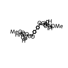 C=C(N[C@H](C(=O)N1CCC[C@@]1(C)C(=O)OCC(=O)c1ccc(-c2ccc(C(=O)COC(=O)[C@@H]3CC[C@@H]4CC[C@H](NC(=O)OC)C(=O)N43)cc2)cc1)C(C)C)OC